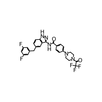 O=C(Nc1n[nH]c2ccc(Cc3cc(F)cc(F)c3)cc12)c1ccc(N2CCN(C(=O)C(F)(F)F)CC2)cc1